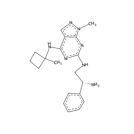 Cn1ncc2c(NC3(C)CCC3)nc(NC[C@H](N)c3ccccc3)nc21